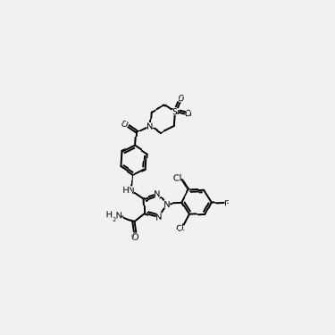 NC(=O)c1nn(-c2c(Cl)cc(F)cc2Cl)nc1Nc1ccc(C(=O)N2CCS(=O)(=O)CC2)cc1